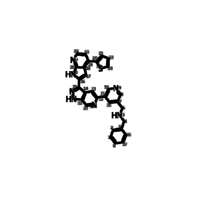 c1ccc(CNCc2cncc(-c3cc4c(-c5cc6c(-c7cccs7)ccnc6[nH]5)n[nH]c4cn3)c2)cc1